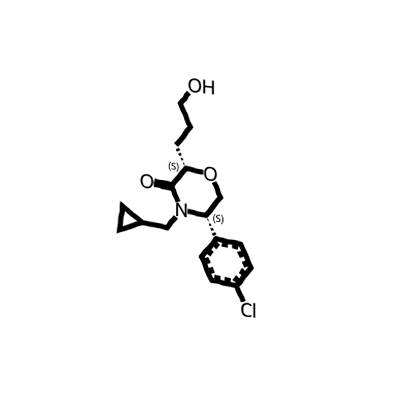 O=C1[C@H](CCCO)OC[C@H](c2ccc(Cl)cc2)N1CC1CC1